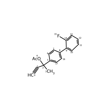 C#CC(C)(OC(C)=O)c1ccc(-c2ccccc2F)cc1